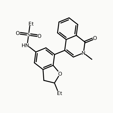 CCC1Cc2cc(NS(=O)(=O)CC)cc(-c3cn(C)c(=O)c4ccccc34)c2O1